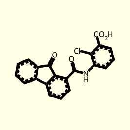 O=C(O)c1cccc(NC(=O)c2cccc3c2C(=O)c2ccccc2-3)c1Cl